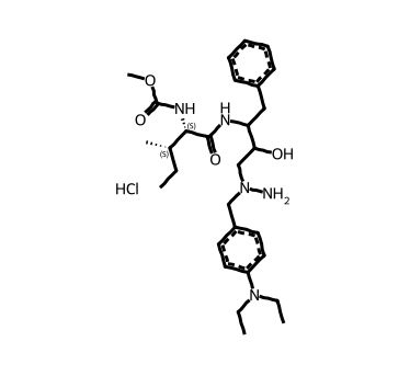 CC[C@H](C)[C@H](NC(=O)OC)C(=O)NC(Cc1ccccc1)C(O)CN(N)Cc1ccc(N(CC)CC)cc1.Cl